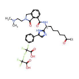 CCC(=O)CCCCC[C@H](NC(=O)c1cccc2c1C(=O)N(CCN(C)C)C2)c1ncc(-c2ccccc2)[nH]1.O=C(O)C(F)(F)F.O=C(O)C(F)(F)F